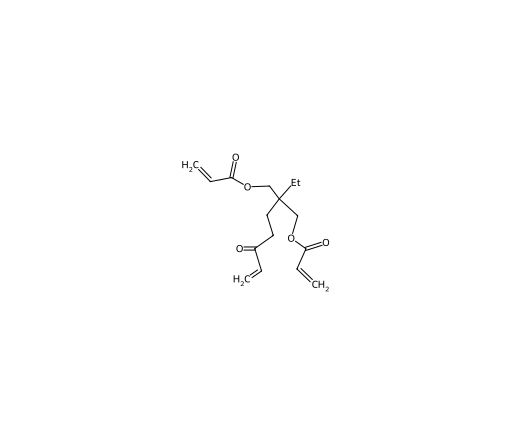 C=CC(=O)CCC(CC)(COC(=O)C=C)COC(=O)C=C